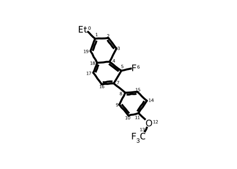 CCc1ccc2c(F)c(-c3ccc(OC(F)(F)F)cc3)ccc2c1